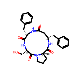 O=C1C[C@H](Cc2ccccc2)NC(=O)[C@@H]2CCCN2C(=O)[C@H](CO)NC(=O)[C@H](Cc2ccccc2)N1